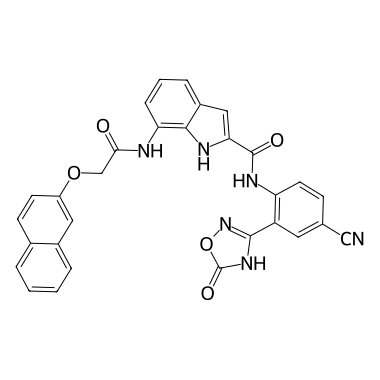 N#Cc1ccc(NC(=O)c2cc3cccc(NC(=O)COc4ccc5ccccc5c4)c3[nH]2)c(-c2noc(=O)[nH]2)c1